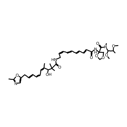 COC(C)C(OC)N(C)C(=O)C1(NC(=O)/C=C/C=C/C=C/C=C\CNC(=O)C(C)(C)C(O)\C(C)=C/C=C\C=C\Cc2cnc(C)o2)COCO1